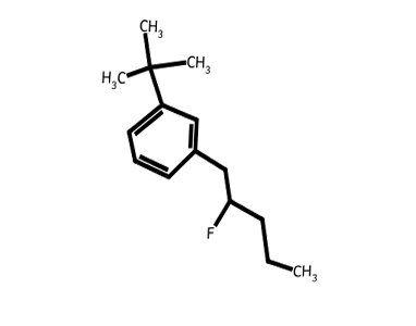 CCCC(F)Cc1cccc(C(C)(C)C)c1